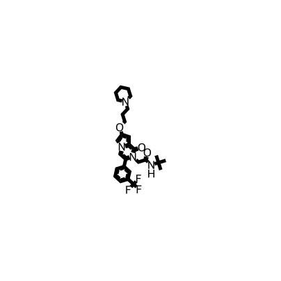 CC(C)(C)NC(=O)Cn1c(-c2cccc(C(F)(F)F)c2)cn2cc(OCCCN3CCCCC3)cc2c1=O